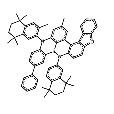 Cc1cc2c3c(c1)N(c1cc4c(cc1C)C(C)(C)CCC4(C)C)c1ccc(-c4ccccc4)cc1B3N(c1ccc3c(c1)C(C)(C)CCC3(C)C)c1ccc3oc4ccccc4c3c1-2